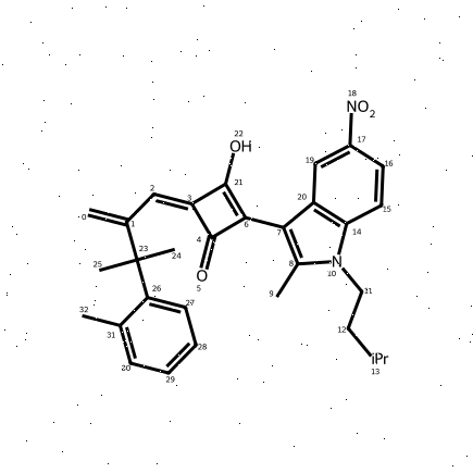 C=C(/C=C1\C(=O)C(c2c(C)n(CCC(C)C)c3ccc([N+](=O)[O-])cc23)=C1O)C(C)(C)c1ccccc1C